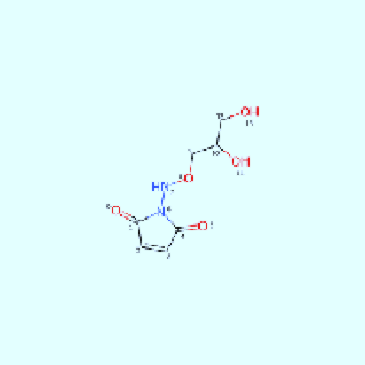 O=C1C=CC(=O)N1NOCC(O)CO